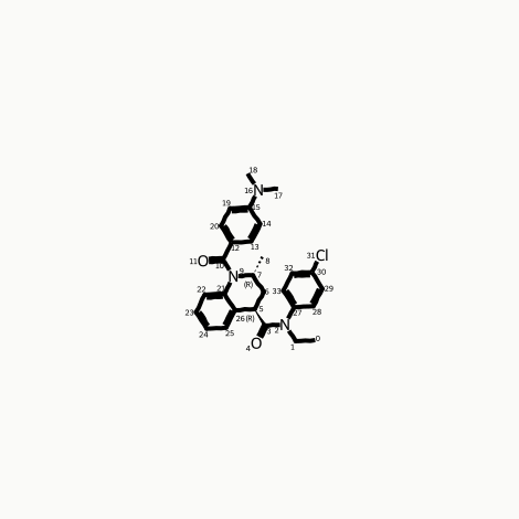 CCN(C(=O)[C@@H]1C[C@@H](C)N(C(=O)c2ccc(N(C)C)cc2)c2ccccc21)c1ccc(Cl)cc1